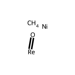 C.[Ni].[O]=[Re]